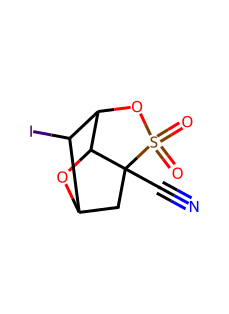 N#CC12CC3OC1C(OS2(=O)=O)C3I